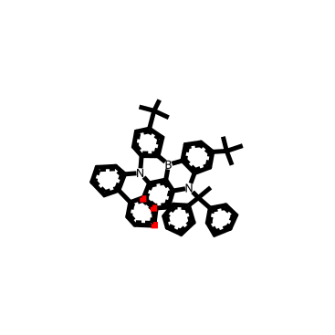 Cc1cc2c3c(c1)N(C(C)(c1ccccc1)c1ccccc1)c1cc(C(C)(C)C)ccc1B3c1cc(C(C)(C)C)ccc1N2c1ccccc1-c1ccccc1